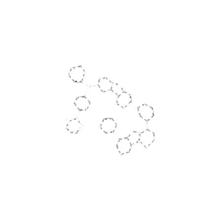 c1ccc(-c2cccc3c2sc2c(-c4cccc(-c5ccc6c(c5)sc5ccc(N(c7ccccc7)c7ccc(-c8ncccn8)cc7)cc56)c4)cccc23)cc1